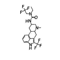 CCN(CC(F)(F)F)C(=O)NC1CC2c3cccc4[nH]c(C(F)(F)F)c(c34)CC2N(C)C1